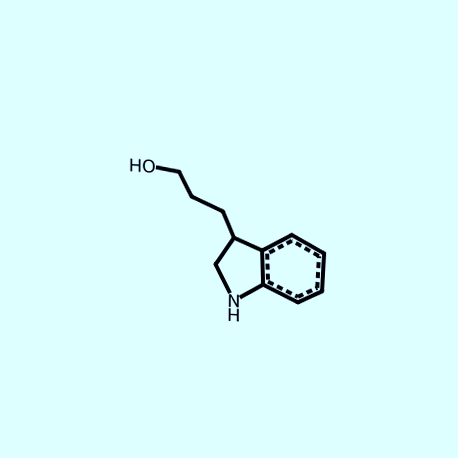 OCCCC1CNc2ccccc21